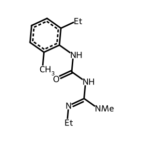 CCN=C(NC)NC(=O)Nc1c(C)cccc1CC